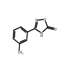 Cc1cccc(-c2noc(=O)[nH]2)c1